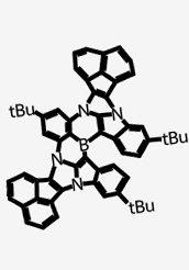 CC(C)(C)c1cc2c3c(c1)-n1c4c5cccc6cccc(c65)c4n4c5cc(C(C)(C)C)ccc5c(c14)B3c1c3ccc(C(C)(C)C)cc3n3c4c5cccc6cccc(c65)c4n-2c13